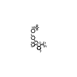 CCN(C(=O)c1cc(F)ccc1N1CCN(C2CCN(C[C@H]3CC[C@H](NS(C)(=O)=O)CC3)CC2)c2ncncc21)C(C)C